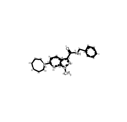 Cn1nc(C(=O)NCc2ccccc2)c2ccc(N3CCCCCC3)nc21